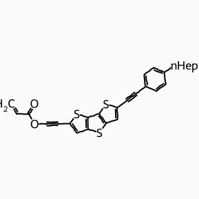 C=CC(=O)OC#Cc1cc2sc3cc(C#Cc4ccc(CCCCCCC)cc4)sc3c2s1